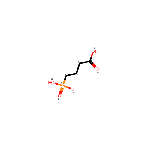 O=C(O)CCCP(=O)(O)O